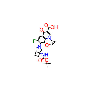 COc1c(N2CC3CCC3(NC(=O)OC(C)(C)C)C2)c(F)cc2c(=O)c(C(=O)O)cn(C3CC3)c12